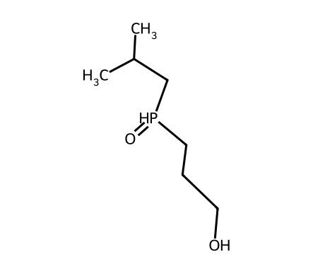 CC(C)C[PH](=O)CCCO